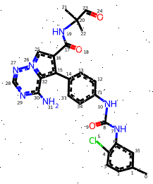 Cc1ccc(Cl)c(NC(=O)Nc2ccc(-c3c(C(=O)NC(C)(C)C=O)cn4ncnc(N)c34)cc2)c1